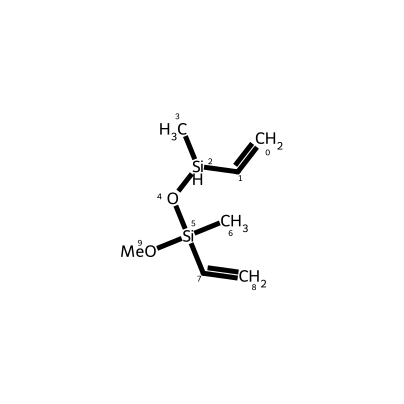 C=C[SiH](C)O[Si](C)(C=C)OC